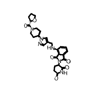 O=C1CCC(N2C(=O)c3cccc(NCc4cnn(C5CCN(C(=O)[C@@H]6CCCO6)CC5)c4)c3C2=O)C(=O)N1